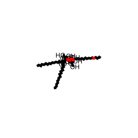 CCCCCCCCCCCCCCCCCC(=O)O[C@H]1[C@H](O)[C@@H](CO)O[C@]1(O[C@H]1O[C@H](CO)[C@@H](O)[C@H](O)[C@H]1O)C(OC(=O)CCCCCCCCCCCCCCC)C(=O)CCCCCCCCCCCCCCC